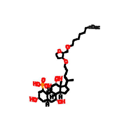 CCCCCCCCCCCCCCCCOC[C@@H]1OCC[C@@H]1OCCC[C@@H](C)[C@H]1CC[C@H]2[C@@H]3[C@H](O)C[C@@H]4C[C@H](O)CC(P(=O)(O)O)[C@]4(C)[C@H]3C[C@H](O)[C@]12C